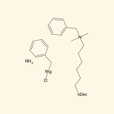 CCCCCCCCCCCCCCCC[N+](C)(C)Cc1ccccc1.N.[Cl][Mg][CH2]c1ccccc1